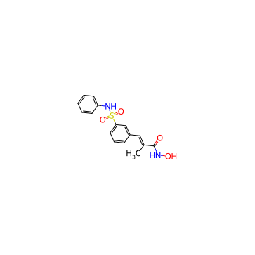 C/C(=C\c1cccc(S(=O)(=O)Nc2ccccc2)c1)C(=O)NO